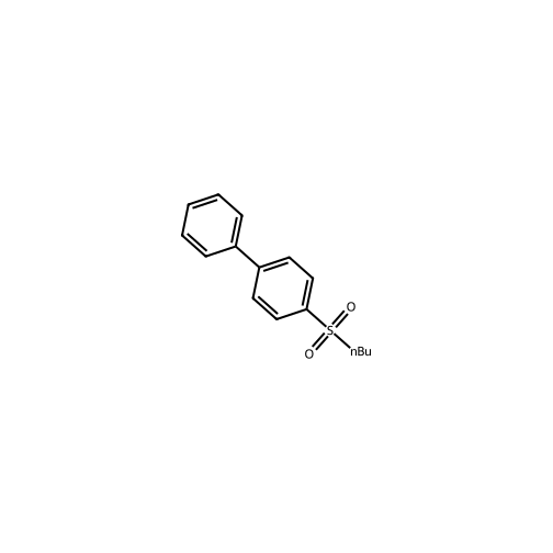 CCCCS(=O)(=O)c1ccc(-c2ccccc2)cc1